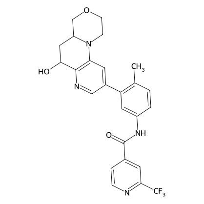 Cc1ccc(NC(=O)c2ccnc(C(F)(F)F)c2)cc1-c1cnc2c(c1)N1CCOCC1CC2O